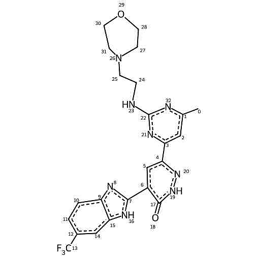 Cc1cc(-c2cc(-c3nc4ccc(C(F)(F)F)cc4[nH]3)c(=O)[nH]n2)nc(NCCN2CCOCC2)n1